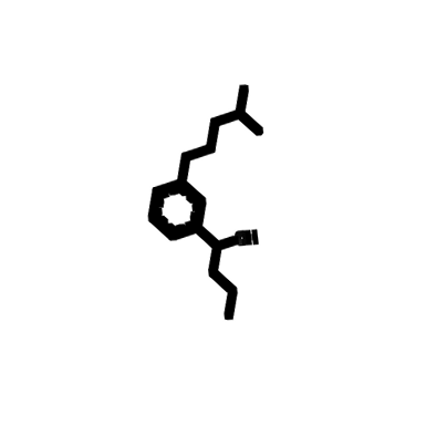 CCCC(O)c1cccc(CCCC(C)C)c1